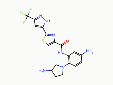 Nc1ccc(N2CC[C@@H](N)C2)c(NC(=O)c2csc(-c3cc(C(F)(F)F)n[nH]3)n2)c1